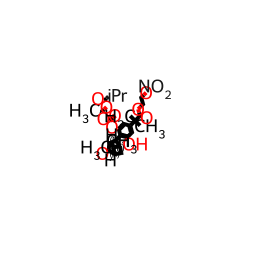 CC(OC(=O)Oc1cc(C(C)(C)C(=O)OCCO[N+](=O)[O-])cc(O)c1[C@@H]1CC(=O)[C@@H]2C[C@H]1C2(C)C)OC(=O)C(C)C